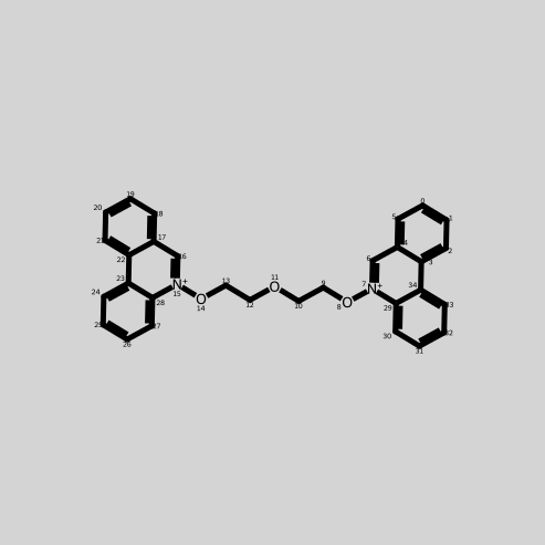 c1ccc2c(c1)c[n+](OCCOCCO[n+]1cc3ccccc3c3ccccc31)c1ccccc21